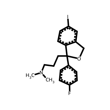 CN(C)CCCC1(c2ccc(F)cc2)OCc2cc(I)ccc21